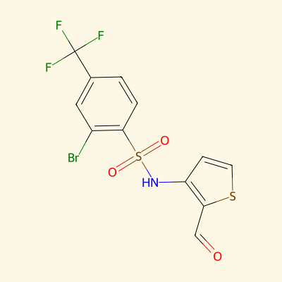 O=Cc1sccc1NS(=O)(=O)c1ccc(C(F)(F)F)cc1Br